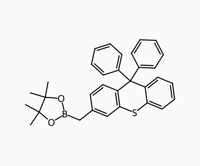 CC1(C)OB(Cc2ccc3c(c2)Sc2ccccc2C3(c2ccccc2)c2ccccc2)OC1(C)C